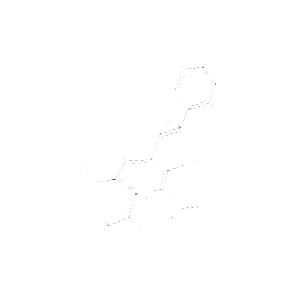 COc1cc(/C=C/c2cccnc2)c(F)c(OC)c1C(C)C